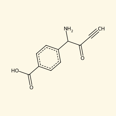 C#CC(=O)C(N)c1ccc(C(=O)O)cc1